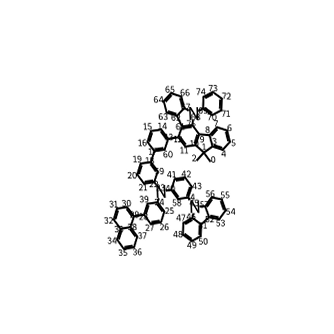 CC1(C)c2ccccc2-c2c1cc(-c1cccc(-c3cccc(N(c4cccc(-c5cccc6ccccc56)c4)c4cccc(-n5c6ccccc6c6ccccc65)c4)c3)c1)c1c3ccccc3n(-c3ccccc3)c21